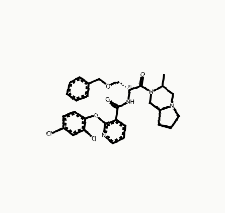 CC1CN2CCCC2CN1C(=O)[C@@H](COCc1ccccc1)NC(=O)c1cccnc1Oc1ccc(Cl)cc1Cl